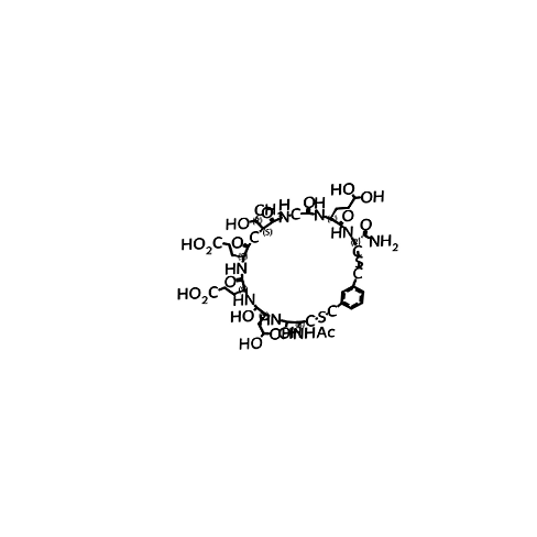 CC(=O)N[C@H]1CSCc2cccc(c2)CSC[C@@H](C(N)=O)NC(=O)[C@H](CCC(O)O)NC(=O)CNC(=O)[C@H]([C@@H](C)O)CC(=O)[C@H](CCC(=O)O)NC(=O)[C@H](CCC(=O)O)NC(O)[C@H](CC(O)O)NC1O